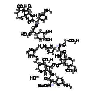 C=CC1=C(C(=O)O)N2C(=O)[C@@H](NC(=O)/C(=N\OCC(=O)O)c3csc(N)n3)[C@H]2SC1.CO/N=C(\C(=O)N[C@@H]1C(=O)N2C(C(=O)O)=C(CSc3nnnn3C)CS[C@H]12)c1csc(N)n1.Cl.Nc1nc(/C(=N/OC(C(=O)O)c2ccc(O)c(O)c2)C(=O)N[C@@H]2C(=O)N3C(C(=O)O)=CCS[C@H]23)cs1